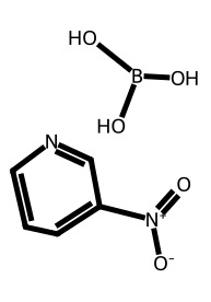 O=[N+]([O-])c1cccnc1.OB(O)O